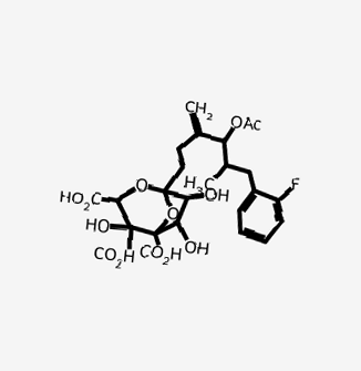 C=C(CCC12OC(C(=O)O)C(O)(C(=O)O)C(C(=O)O)(O1)C(O)C2O)C(OC(C)=O)C(C)Cc1ccccc1F